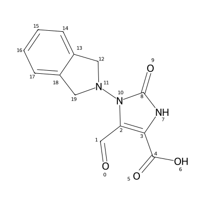 O=Cc1c(C(=O)O)[nH]c(=O)n1N1Cc2ccccc2C1